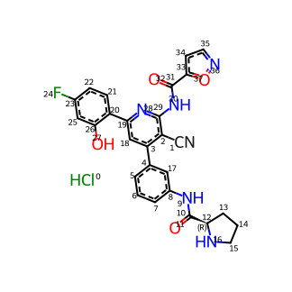 Cl.N#Cc1c(-c2cccc(NC(=O)[C@H]3CCCN3)c2)cc(-c2ccc(F)cc2O)nc1NC(=O)c1ccno1